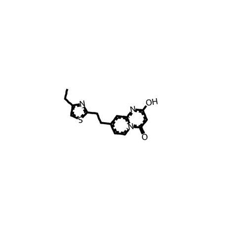 CCc1csc(CCc2ccn3c(=O)cc(O)nc3c2)n1